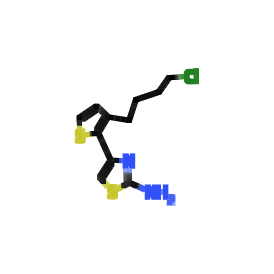 Nc1nc(-c2sccc2CCCCCl)cs1